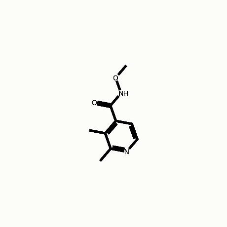 CONC(=O)c1ccnc(C)c1C